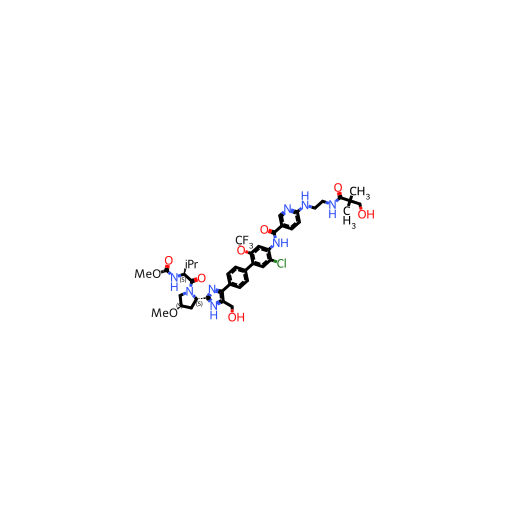 COC(=O)N[C@H](C(=O)N1C[C@@H](OC)C[C@H]1c1nc(-c2ccc(-c3cc(Cl)c(NC(=O)c4ccc(NCCNC(=O)C(C)(C)CO)nc4)cc3OC(F)(F)F)cc2)c(CO)[nH]1)C(C)C